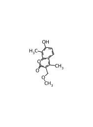 COCc1c(C)c2ccc(O)c(C)c2oc1=O